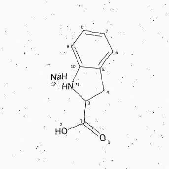 O=C(O)C1Cc2ccccc2N1.[NaH]